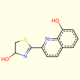 Oc1cccc2ccc(C3=NC(O)CS3)nc12